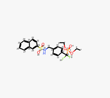 CCOP(=O)(OCC)C(F)(F)c1ccc(CNS(=O)(=O)c2ccc3ccccc3c2)cc1